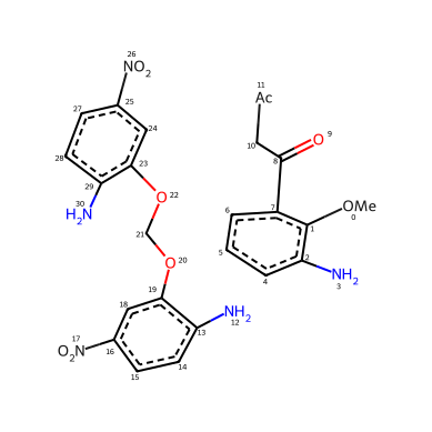 COc1c(N)cccc1C(=O)CC(C)=O.Nc1ccc([N+](=O)[O-])cc1OCOc1cc([N+](=O)[O-])ccc1N